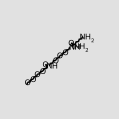 COCCOCCOCCOCCC(=O)NCCCOCCOCCOCCCNC(=O)[C@@H](N)CCCCN